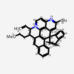 C=CC1C(CCOC)c2cc3ccccc3c3c2-c2c4c(cc(C(C)(C)C)nc4cc[n+]21)C31c2ccccc2-c2ccccc21